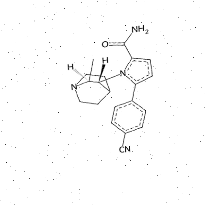 C[C@H]1[C@H](n2c(C(N)=O)ccc2-c2ccc(C#N)cc2)C2CCN1CC2